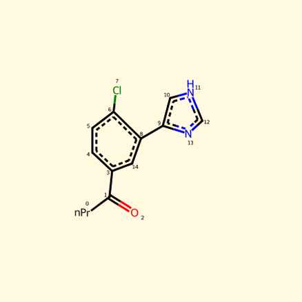 CCCC(=O)c1ccc(Cl)c(-c2c[nH]cn2)c1